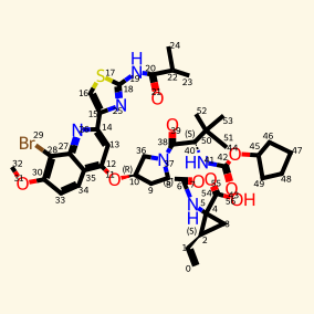 C=C[C@@H]1CC1(NC(=O)[C@@H]1C[C@@H](Oc2cc(-c3csc(NC(=O)C(C)C)n3)nc3c(Br)c(OC)ccc23)CN1C(=O)[C@@H](NC(=O)OC1CCCC1)C(C)(C)C)C(=O)O